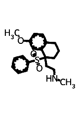 CNCCC1(S(=O)(=O)c2ccccc2)CCCc2ccc(OC)cc21